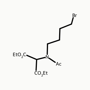 CCOC(=O)C(C(=O)OCC)N(CCCCBr)C(C)=O